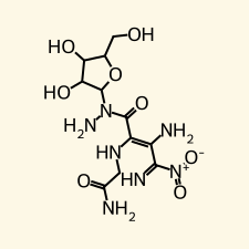 N=C(/C(N)=C(\NCC(N)=O)C(=O)N(N)C1OC(CO)C(O)C1O)[N+](=O)[O-]